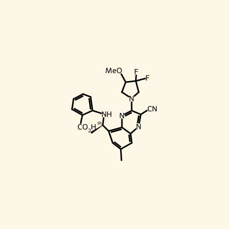 COC1CN(c2nc3c([C@@H](C)Nc4ccccc4C(=O)O)cc(C)cc3nc2C#N)CC1(F)F